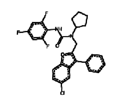 O=C(Nc1c(F)cc(F)cc1F)N(Cc1oc2ccc(Cl)cc2c1-c1ccccc1)C1CCCC1